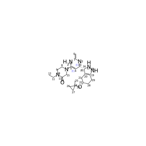 C=C/N=C(\C=C(/N)N1CCN(CC)C(=O)C1)[C@@H]1NNC2=C1CC(OC1(C)CC1)CC2